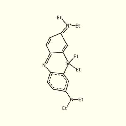 CCN(CC)c1ccc2c(c1)[Si](CC)(CC)C1=CC(=[N+](CC)CC)C=CC1=N2